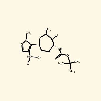 C[C@@H]1O[C@H](c2c([NH+]([O-])O)cnn2C)CC[C@@H](NC(=O)OC(C)(C)C)[C@@H]1F